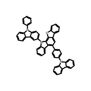 c1ccc(-n2c3ccccc3c3cc(-n4c5ccccc5c5c(-c6ccc(-n7c8ccccc8c8ccccc87)cc6)cc6c7ccccc7oc6c54)ccc32)cc1